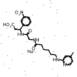 Cc1ccnc(NCCCCCC(=O)NCC(=O)NC(CC(=O)O)c2cccc([N+](=O)[O-])c2)c1.[Na+]